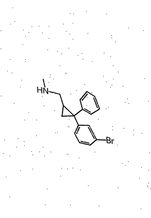 CNCC1CC1(c1ccccc1)c1cccc(Br)c1